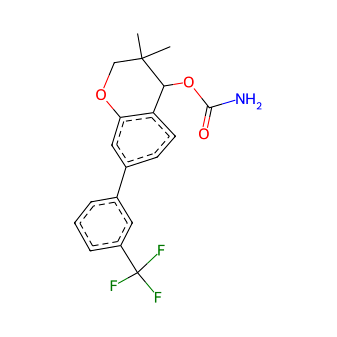 CC1(C)COc2cc(-c3cccc(C(F)(F)F)c3)ccc2C1OC(N)=O